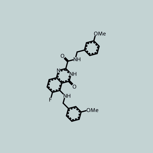 COc1cccc(CNC(=O)c2nc3ccc(F)c(NCc4cccc(OC)c4)c3c(=O)[nH]2)c1